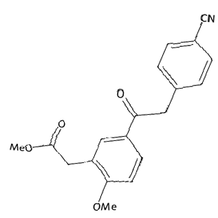 COC(=O)Cc1cc(C(=O)Cc2ccc(C#N)cc2)ccc1OC